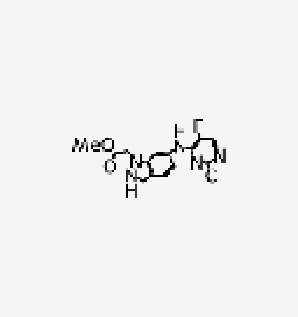 COC(=O)CN1NCc2ccc(Nc3nc(Cl)ncc3F)cc21